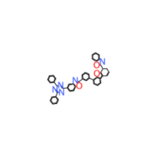 C1=Cc2c(oc3c(-c4cccc(-c5nc6cc(-c7nc(-c8ccccc8)nc(-c8ccccc8)n7)ccc6o5)c4)cccc23)C(c2nc3ccccc3o2)C1